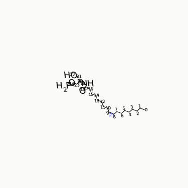 CCCCCCCC/C=C\CCCCCCCC(=O)N[C@@H](CO)COP